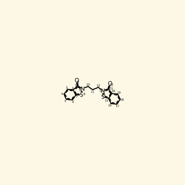 O=c1c2ccccc2sn1CCCn1sc2ccccc2c1=O